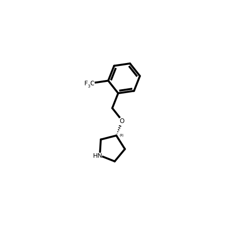 FC(F)(F)c1ccccc1CO[C@@H]1CCNC1